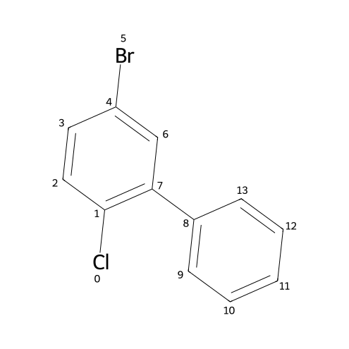 Clc1ccc(Br)cc1-c1ccccc1